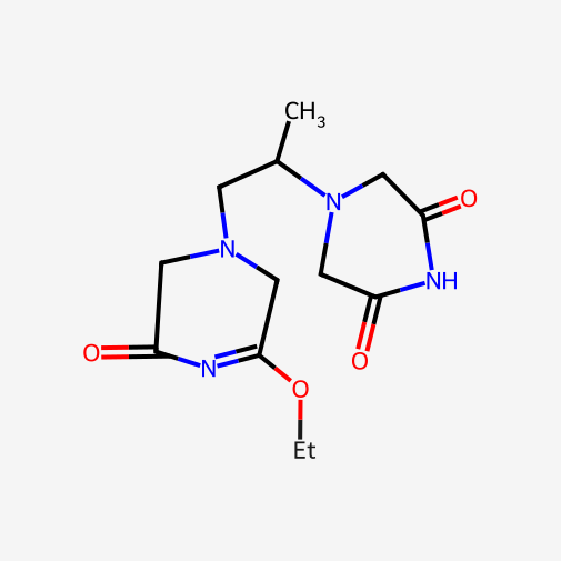 CCOC1=NC(=O)CN(CC(C)N2CC(=O)NC(=O)C2)C1